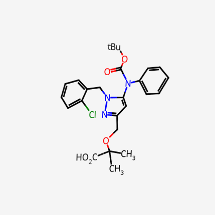 CC(C)(C)OC(=O)N(c1ccccc1)c1cc(COC(C)(C)C(=O)O)nn1Cc1ccccc1Cl